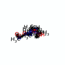 CCC(C)C(C1CC(N2CCCC2C(OC)C(C)(F)N[C@@H](Cc2ccccc2)P(O)CC(C)=O)=C1C)N(C)C(=O)C/N=C(\N(C)C)N1CCN(C(=O)CCCCCN(C)C(=O)/C=C\C=O)CC1